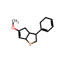 COC1=CC2SCC(C3=CC=CCC3)C2C1